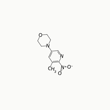 Cc1cc(N2CCOCC2)cnc1[N+](=O)[O-]